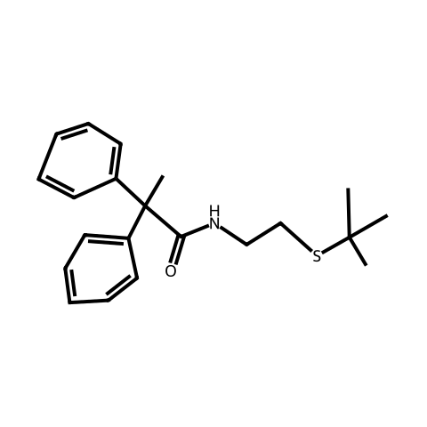 CC(C)(C)SCCNC(=O)C(C)(c1ccccc1)c1ccccc1